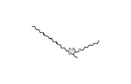 CCCCCC=CCC=CCC=CCCCCCOC(CC)C(N)COCCCCCCCC